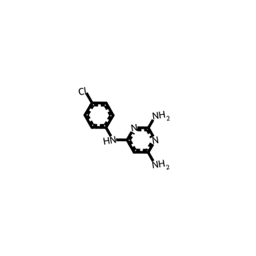 Nc1cc(Nc2ccc(Cl)cc2)nc(N)n1